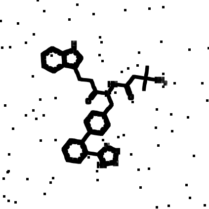 CC(C)(N)CC(=O)NN(Cc1ccc(-c2ccccc2-c2nnn[nH]2)cc1)C(=O)CCc1c[nH]c2ccccc12